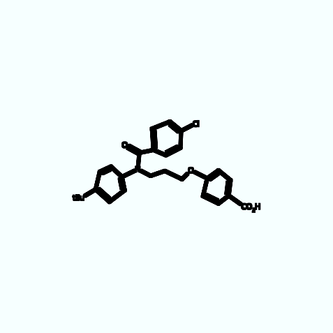 CC(C)(C)c1ccc(N(CCCOc2ccc(C(=O)O)cc2)C(=O)c2ccc(Cl)cc2)cc1